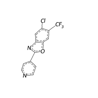 FC(F)(F)c1cc2oc(-c3ccncc3)nc2cc1Cl